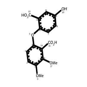 COc1ccc(Oc2ccc(O)cc2C(=O)O)c(C(=O)O)c1OC